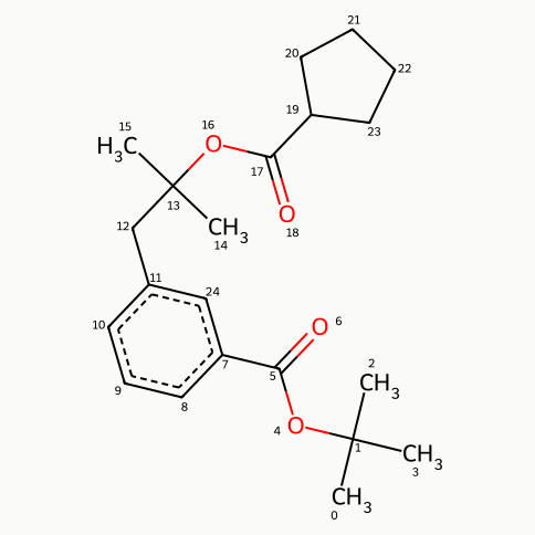 CC(C)(C)OC(=O)c1cccc(CC(C)(C)OC(=O)C2CCCC2)c1